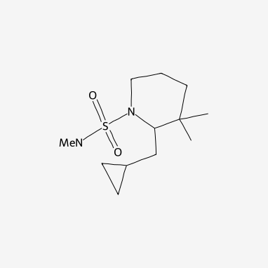 CNS(=O)(=O)N1CCCC(C)(C)C1CC1CC1